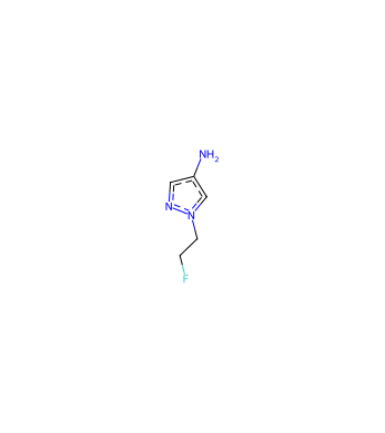 Nc1cnn(CCF)c1